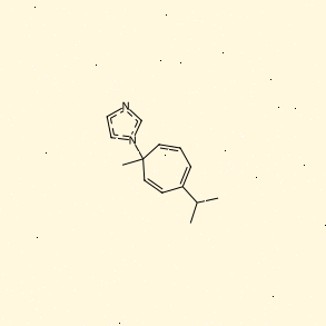 CC(C)C1=CC=CC(C)(n2ccnc2)C=C1